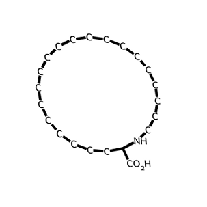 O=C(O)C1CCCCCCCCCCCCCCCCCCCCN1